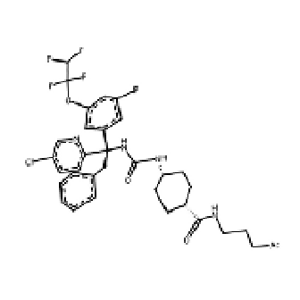 CC(=O)CCCNC(=O)[C@H]1CC[C@@H](NC(=O)N[C@@](Cc2ccccc2)(c2cc(F)cc(OC(F)(F)C(F)F)c2)c2ccc(Cl)cn2)CC1